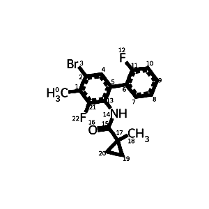 Cc1c(Br)cc(-c2ccccc2F)c(NC(=O)C2(C)CC2)c1F